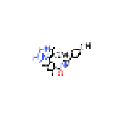 CO/C(C(C)=N)=C(/N)c1cc(C(=O)N2CC(c3ccc(C#N)cc3)C2)c(C)cc1C